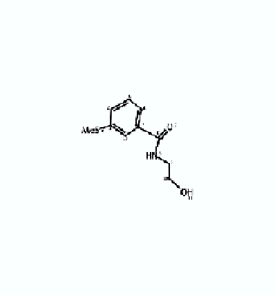 CSc1cccc(C(=O)NCCO)c1